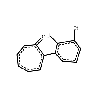 CCc1cccc(-c2cccccc2=O)c1Cl